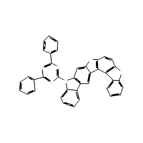 c1ccc(-c2nc(-c3ccccc3)nc(-n3c4ccccc4c4cc5c(cc43)oc3ccc4sc6ccccc6c4c35)n2)cc1